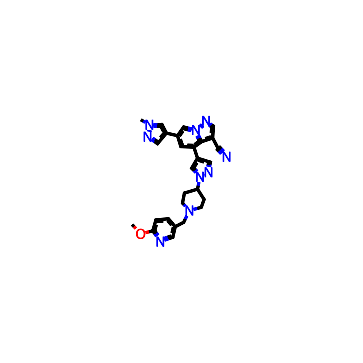 COc1ccc(CN2CCC(n3cc(-c4cc(-c5cnn(C)c5)cn5ncc(C#N)c45)cn3)CC2)cn1